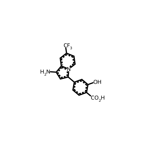 Nc1cc(-c2ccc(C(=O)O)c(O)c2)n2ccc(C(F)(F)F)cc12